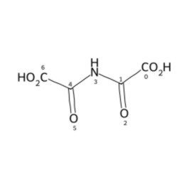 O=C(O)C(=O)NC(=O)C(=O)O